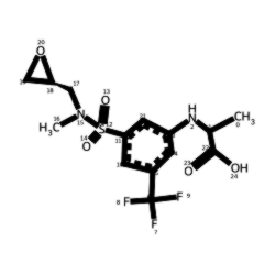 CC(Nc1cc(C(F)(F)F)cc(S(=O)(=O)N(C)C[C@H]2CO2)c1)C(=O)O